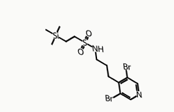 C[Si](C)(C)CCS(=O)(=O)NCCCc1c(Br)cncc1Br